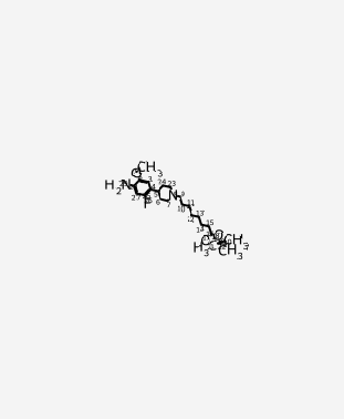 COc1cc(C2CCN(CCCCCCCC(=O)OC(C)(C)C)CC2)c(F)cc1N